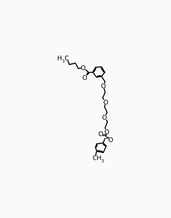 CCCCOC(=O)c1cccc(COCCOCCOCCOS(=O)(=O)c2ccc(C)cc2)c1